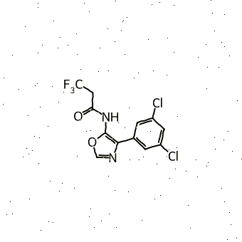 O=C(CC(F)(F)F)Nc1ocnc1-c1cc(Cl)cc(Cl)c1